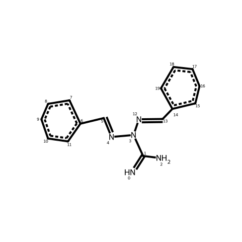 N=C(N)N(N=Cc1ccccc1)N=Cc1ccccc1